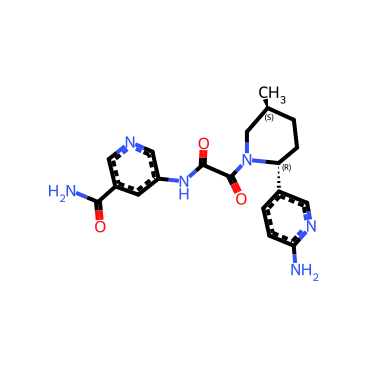 C[C@H]1CC[C@H](c2ccc(N)nc2)N(C(=O)C(=O)Nc2cncc(C(N)=O)c2)C1